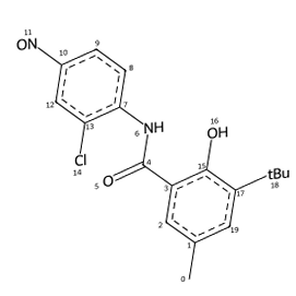 Cc1cc(C(=O)Nc2ccc(N=O)cc2Cl)c(O)c(C(C)(C)C)c1